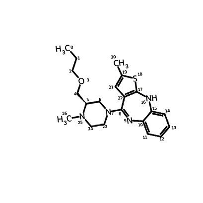 CCCOC[C@H]1CN(C2=Nc3ccccc3Nc3sc(C)cc32)CCN1C